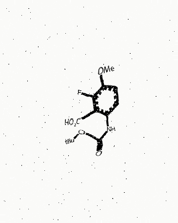 COc1ccc(NC(=O)OC(C)(C)C)c(C(=O)O)c1F